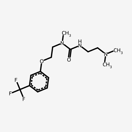 CN(C)CCNC(=O)N(C)CCOc1cccc(C(F)(F)F)c1